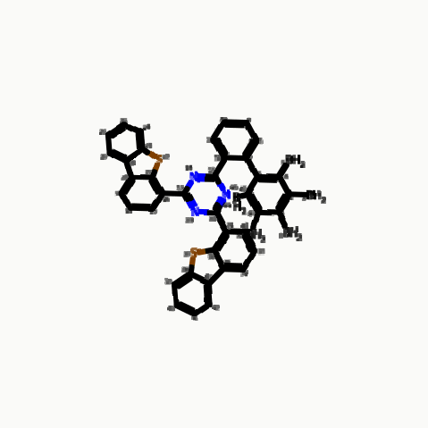 Bc1c(B)c(B)c(-c2ccccc2-c2nc(-c3cccc4c3sc3ccccc34)nc(-c3cccc4c3sc3ccccc34)n2)c(B)c1B